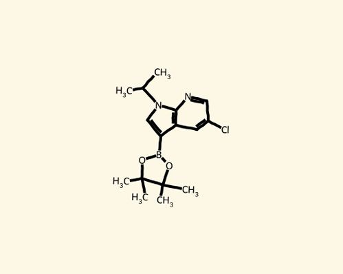 CC(C)n1cc(B2OC(C)(C)C(C)(C)O2)c2cc(Cl)cnc21